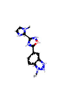 CC(C)n1nnc2cc(-c3nc(-c4nccn4C)no3)ccc21